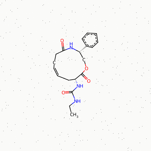 CCNC(=O)N[C@@H]1CC=CCCC(=O)N[C@H](c2ccccc2)COC1=O